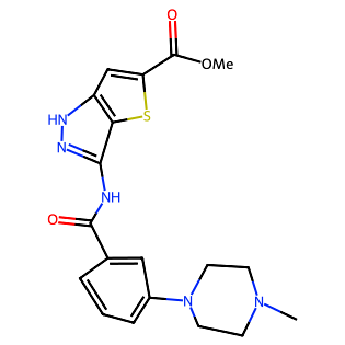 COC(=O)c1cc2[nH]nc(NC(=O)c3cccc(N4CCN(C)CC4)c3)c2s1